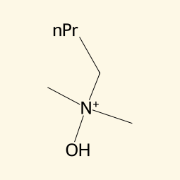 CCCC[N+](C)(C)O